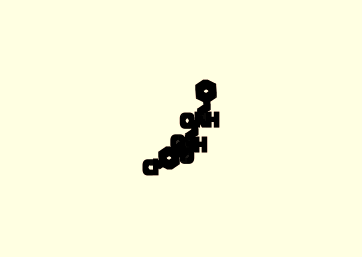 O=C(CCNS(=O)(=O)c1ccc(Cl)cc1)NCCc1ccccc1